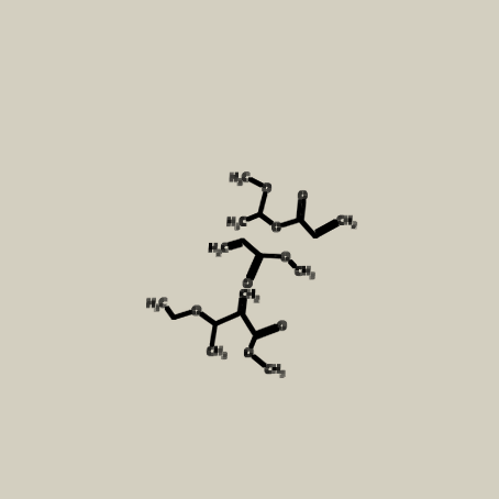 C=C(C(=O)OC)C(C)OCC.C=CC(=O)OC.C=CC(=O)OC(C)OC